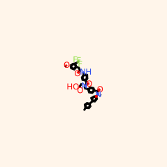 COc1ccc(CC(=O)Nc2ccc(C(=O)N(CC(=O)O)Cc3ccc(C(=O)N(C)c4ccc(-c5ccc(C)cc5)cc4)cc3)cc2)c(C(F)(F)F)c1